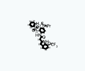 CC(C)N(C)[C@@H]1CC[C@H](NC(=O)Cc2cc3cccc(OC(F)(F)F)c3[nH]2)[C@H](CS(=O)(=O)c2ccccc2)C1